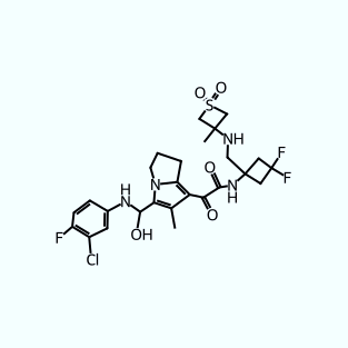 Cc1c(C(=O)C(=O)NC2(CNC3(C)CS(=O)(=O)C3)CC(F)(F)C2)c2n(c1C(O)Nc1ccc(F)c(Cl)c1)CCC2